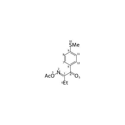 CCC(=NOC(C)=O)C(=O)c1ccc(SC)cc1